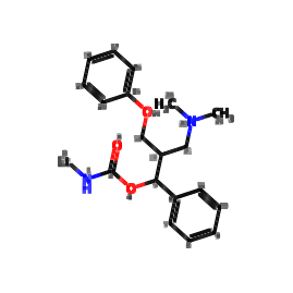 CCNC(=O)OC(c1ccccc1)C(COc1ccccc1)CN(C)C